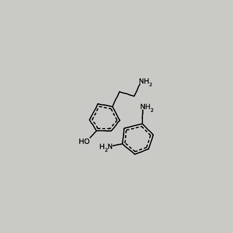 NCCc1ccc(O)cc1.Nc1cccc(N)c1